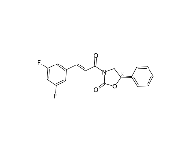 O=C(C=Cc1cc(F)cc(F)c1)N1C[C@@H](c2ccccc2)OC1=O